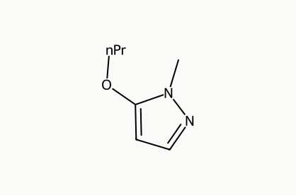 CCCOc1ccnn1C